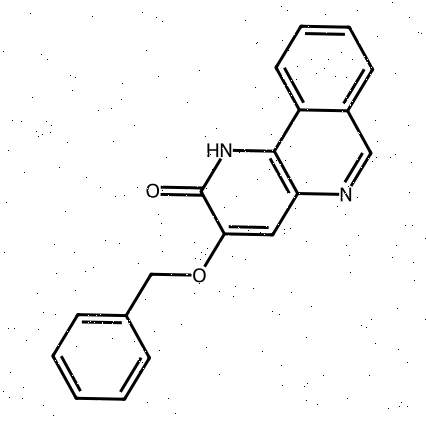 O=c1[nH]c2c(cc1OCc1ccccc1)ncc1ccccc12